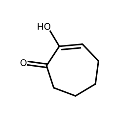 O=C1CCCCC=C1O